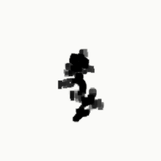 CC(C)C[C@H](NC[C@@H](O)CNS(=O)(=O)c1ccc(Cl)cc1Cl)C(N)=O